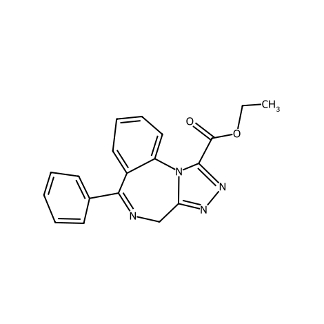 CCOC(=O)c1nnc2n1-c1ccccc1C(c1ccccc1)=NC2